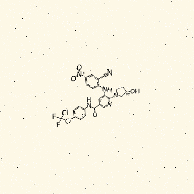 N#Cc1cc([N+](=O)[O-])ccc1Nc1cc(C(=O)Nc2ccc(OC(F)(F)Cl)cc2)cnc1N1CC[C@@H](O)C1